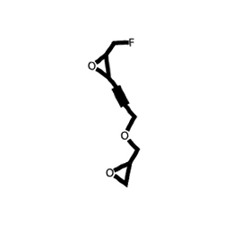 FCC1OC1C#CCOCC1CO1